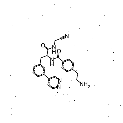 N#CCNC(=O)C(Cc1cccc(-c2ccnnc2)c1)NC(=O)c1ccc(CCN)cc1